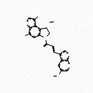 CNc1cnc2[nH]cc(/C=C/C(=O)N3C[C@@H](CCl)c4c3cc(O)c3scc(C)c43)c2c1